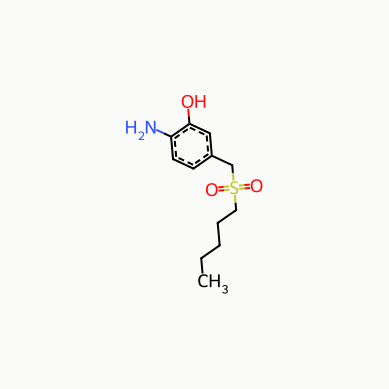 CCCCCS(=O)(=O)Cc1ccc(N)c(O)c1